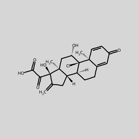 C=C1C[C@H]2[C@@H]3CCC4=CC(=O)C=C[C@]4(C)[C@@]3(Cl)[C@@H](O)C[C@]2(C)[C@@]1(O)C(=O)C(=O)O